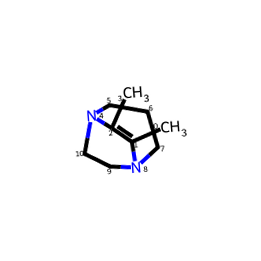 CC1=C(C)N2CCCN1CC2